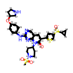 CS(=O)(=O)N1CCC(n2c(=O)c(-c3cc([S+]([O-])C4CC4)cs3)cc3cnc(Nc4ccc(OC5CCNC5)cc4)nc32)CC1